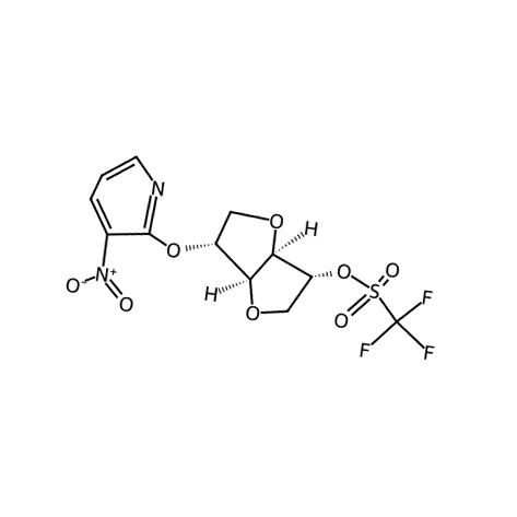 O=[N+]([O-])c1cccnc1O[C@@H]1CO[C@@H]2[C@H]1OC[C@H]2OS(=O)(=O)C(F)(F)F